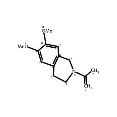 C=C(C)N1CCc2cc(OC)c(OC)cc2C1